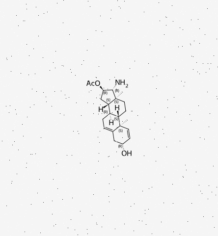 CC(=O)O[C@@H]1C[C@H]2[C@@H]3CC=C4C[C@@H](O)C=C[C@]4(C)[C@H]3CC[C@]2(C)[C@H]1N